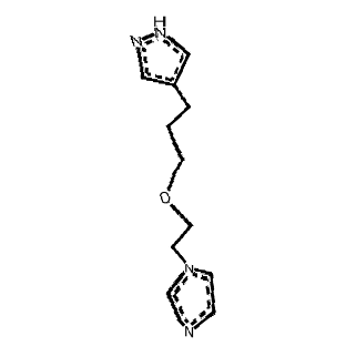 c1cn(CCOCCCc2cn[nH]c2)cn1